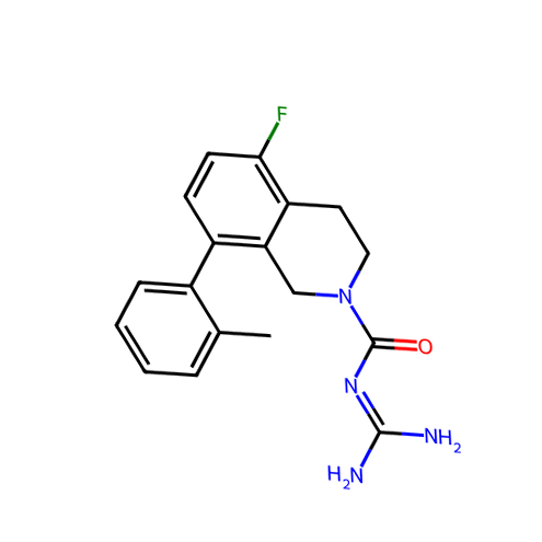 Cc1ccccc1-c1ccc(F)c2c1CN(C(=O)N=C(N)N)CC2